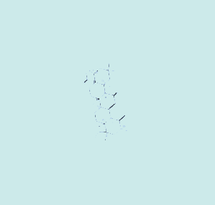 C=C1[C@@H](O)C[C@](C)(CO)[C@@H]2CC[C@]3(C)C(=CC(=O)[C@@H]4[C@@H]5CC(C)(C)CC[C@]5(C(=O)OC)CC[C@]43C)[C@@]12C